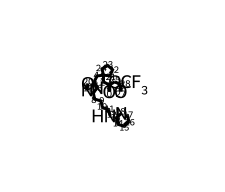 O=C(CC1(Cc2nc(CCCCNc3ccccn3)no2)CCCC1)OC(=O)C(F)(F)F